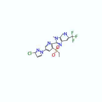 CCS(=O)(=O)c1cc(-n2ccc(Cl)n2)cnc1-c1nc2cc(C(F)(F)F)ncc2n1C